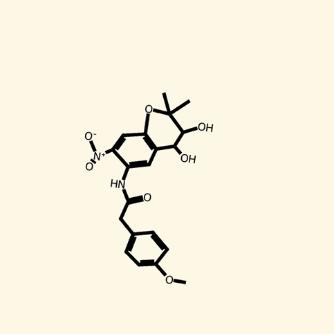 COc1ccc(CC(=O)Nc2cc3c(cc2[N+](=O)[O-])OC(C)(C)C(O)C3O)cc1